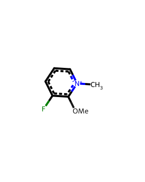 COc1c(F)ccc[n+]1C